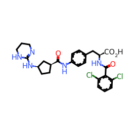 O=C(N[C@@H](Cc1ccc(NC(=O)[C@H]2CC[C@@H](NC3=NCCCN3)C2)cc1)C(=O)O)c1c(Cl)cccc1Cl